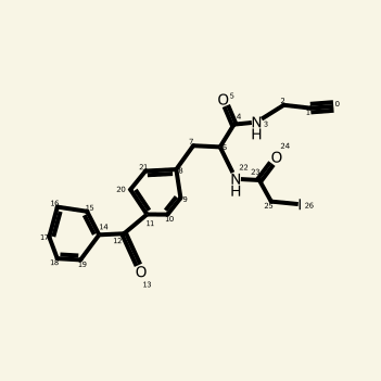 C#CCNC(=O)C(Cc1ccc(C(=O)c2ccccc2)cc1)NC(=O)CI